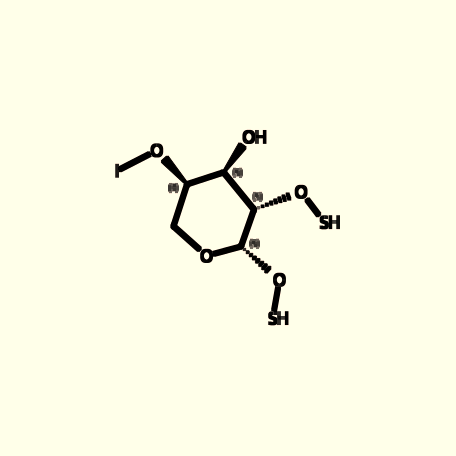 O[C@H]1[C@H](OS)[C@H](OS)OC[C@H]1OI